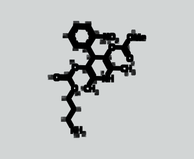 COC(=O)OC1=C(C)NC(C)=C(OC(=O)OCCCN)C1c1ccccc1[N+](=O)[O-]